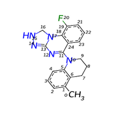 Cc1cccc2c1CCCN2C1=NC2=NNCN2c2c(F)cccc21